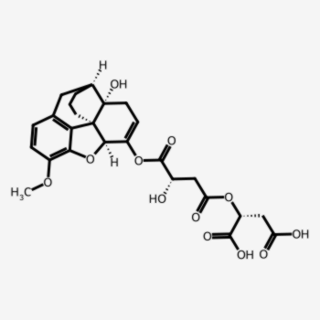 COc1ccc2c3c1O[C@@H]1C(OC(=O)[C@@H](O)CC(=O)O[C@H](CC(=O)O)C(=O)O)=CC[C@]4(O)[C@@H](CCC[C@@]314)C2